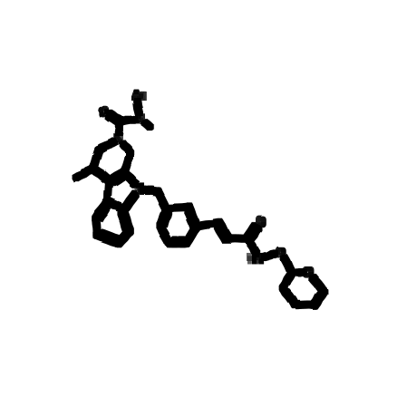 CC(=O)N(C)C(=O)N1Cc2c(c3ccccc3n2Cc2cccc(/C=C/C(=O)NOC3CCCCO3)c2)C(C)C1